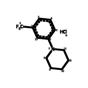 Cl.FC(F)(F)c1cccc(N2CCCCC2)c1